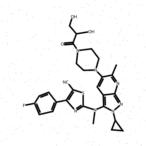 Cc1nc2nn(C3CC3)c(N(C)c3nc(-c4ccc(F)cc4)c(C#N)s3)c2cc1N1CCN(C(=O)C(O)CO)CC1